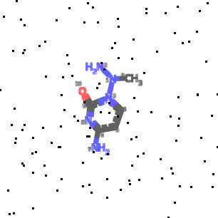 CN(N)n1ccc(N)nc1=O